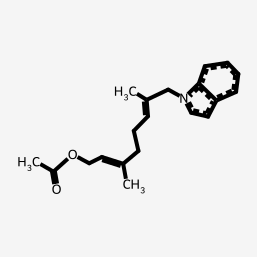 CC(=O)OCC=C(C)CCC=C(C)Cn1ccc2ccccc21